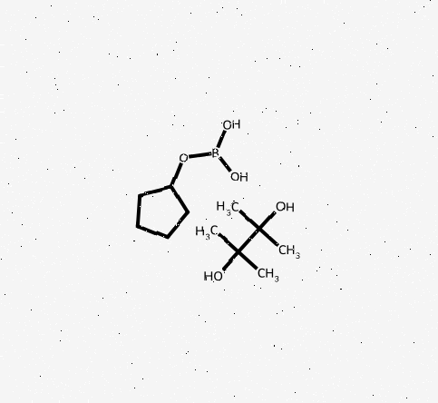 CC(C)(O)C(C)(C)O.OB(O)OC1CCCC1